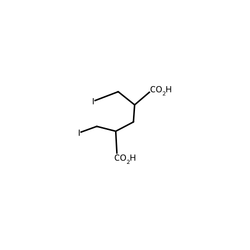 O=C(O)C(CI)CC(CI)C(=O)O